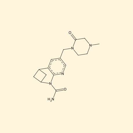 CN1CCN(Cc2cnc3c(c2)C2CC(C2)N3C(N)=O)C(=O)C1